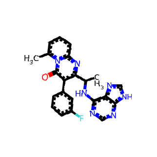 Cc1cccc2nc(C(C)Nc3ncnc4[nH]cnc34)c(-c3cccc(F)c3)c(=O)n12